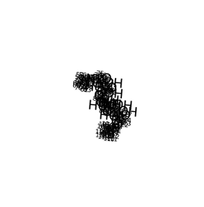 CC(=O)[C@]1(O)Cc2c(O)c3c(c(O)c2[C@@H](OC2CC(NC(=O)NC4CC(O[C@H]5C[C@](O)(C(C)=O)Cc6c(O)c7c(c(O)c65)C(=O)c5c(OCN6CCN(C(c8ccccc8)(c8ccccc8)c8ccccc8)CC6)cccc5C7=O)OC(C)C4O)C(O)C(C)O2)C1)C(=O)c1c(OCN2CCN(C(c4ccccc4)(c4ccccc4)c4ccccc4)CC2)cccc1C3=O